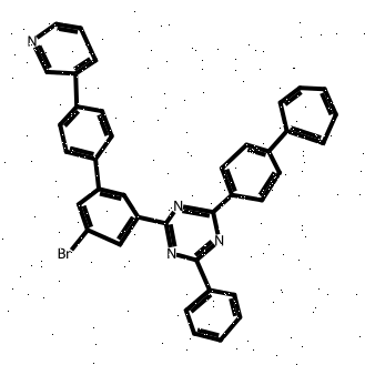 Brc1cc(-c2ccc(-c3cccnc3)cc2)cc(-c2nc(-c3ccccc3)nc(-c3ccc(-c4ccccc4)cc3)n2)c1